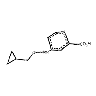 O=C(O)c1cc(NOCC2CC2)ccn1